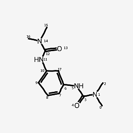 CN(C)C(=O)Nc1cccc(NC(=O)N(C)C)c1